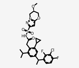 CO[C@H]1COc2cc(S(=O)(=O)NC(=O)Cc3c(C(C)C)cc(C(C)c4ccc(F)c(Cl)c4F)cc3C3CC3)nn2C1